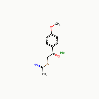 Br.COc1ccc(C(=O)CSC(C)=N)cc1